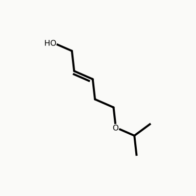 CC(C)OCCC=CCO